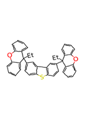 CCC1(c2ccc3sc4ccc(C5(CC)c6ccccc6Oc6ccccc65)cc4c3c2)c2ccccc2Oc2ccccc21